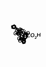 CC(C)C[C@H](NC(=O)[C@@H]1CCC(=O)N1C(=O)OCc1ccccc1)C(=O)N[C@@H](Cc1cn(P(=O)(O)O)c2ccccc12)C(=O)O